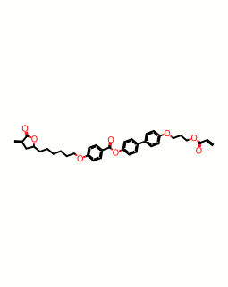 C=CC(=O)OCCCOc1ccc(-c2ccc(OC(=O)c3ccc(OCCCCCCC4CC(=C)C(=O)O4)cc3)cc2)cc1